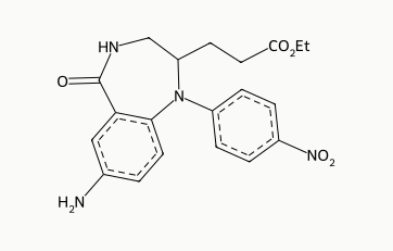 CCOC(=O)CCC1CNC(=O)c2cc(N)ccc2N1c1ccc([N+](=O)[O-])cc1